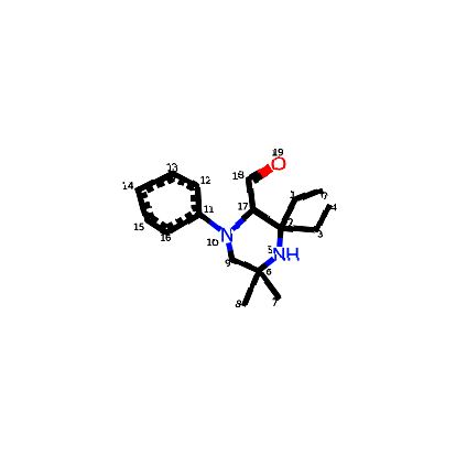 CCC1(CC)NC(C)(C)CN(c2ccccc2)C1C=O